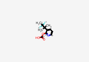 CC(F)(F)C(C)(C)c1cccnc1OC(=O)O